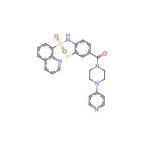 O=C(c1ccc(NS(=O)(=O)c2cccc3cccnc23)c(F)c1)N1CCN(c2ccncc2)CC1